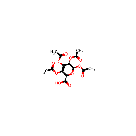 CC(=O)OC1=C(OC(C)=O)[C@H](OC(C)=O)[C@@H](OC(C)=O)O[C@H]1C(=O)O